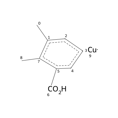 Cc1cccc(C(=O)O)c1C.[Cu]